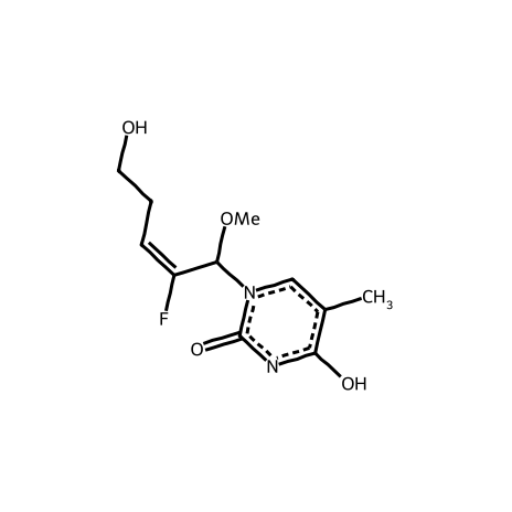 COC(/C(F)=C\CCO)n1cc(C)c(O)nc1=O